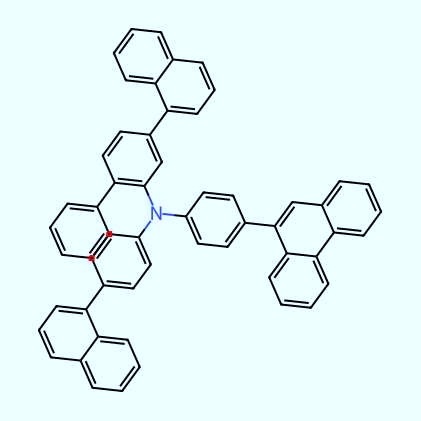 c1ccc(-c2ccc(-c3cccc4ccccc34)cc2N(c2ccc(-c3cccc4ccccc34)cc2)c2ccc(-c3cc4ccccc4c4ccccc34)cc2)cc1